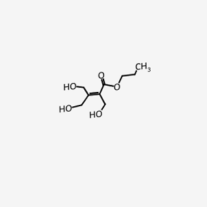 CCCOC(=O)C(CO)=C(CO)CO